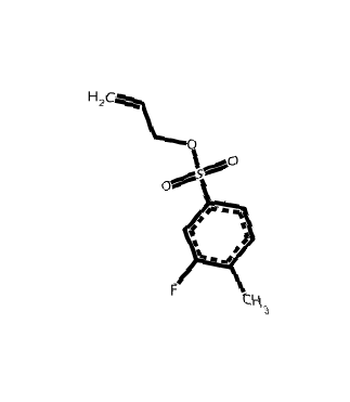 C=CCOS(=O)(=O)c1ccc(C)c(F)c1